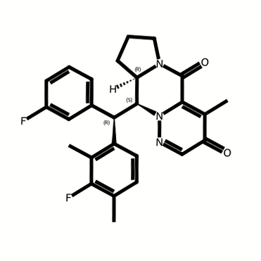 Cc1ccc([C@@H](c2cccc(F)c2)[C@H]2[C@H]3CCCN3C(=O)c3c(C)c(=O)cnn32)c(C)c1F